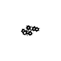 CC12C3CCCC3CC[C@@]1(C)c1cccc3c1N2c1cccc2c1B3c1cc3ccccc3cc1O2